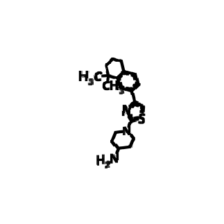 CC1(C)CCCc2ccc(-c3csc(N4CCC(N)CC4)n3)cc21